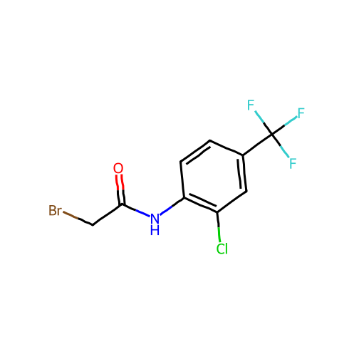 O=C(CBr)Nc1ccc(C(F)(F)F)cc1Cl